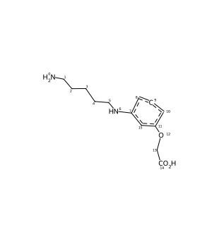 NCCCCCNc1cccc(OCC(=O)O)c1